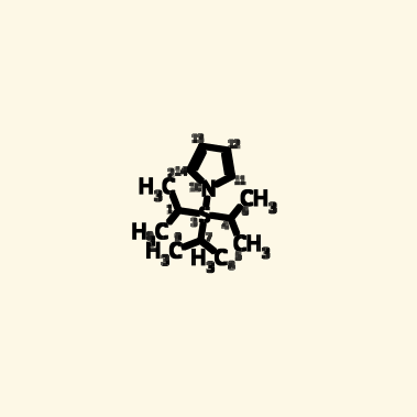 CC(C)S(C(C)C)(C(C)C)n1cccc1